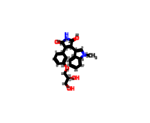 Cn1cc(C2=C(c3cccc(OC[C@@H](O)CO)c3)C(=O)NC2=O)c2ccccc21